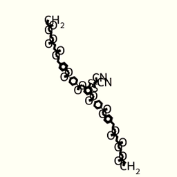 C=CC(=O)OCCOC(=O)CCC(=O)OCCc1ccc(OC(=O)[C@H]2CC[C@H](C(=O)Oc3ccc(OC(=O)[C@H]4CC[C@H](C(=O)Oc5ccc(CCOC(=O)CCC(=O)OCCOC(=O)C=C)cc5)CC4)c4c3SC(=C(C#N)C#N)S4)CC2)cc1